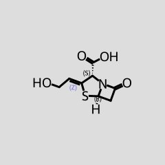 O=C(O)[C@H]1/C(=C/CO)S[C@@H]2CC(=O)N21